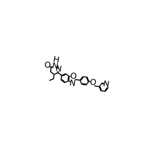 CCC1CC(=O)NN=C1c1ccc2nc(-c3ccc(OCc4cccnc4)cc3)oc2c1